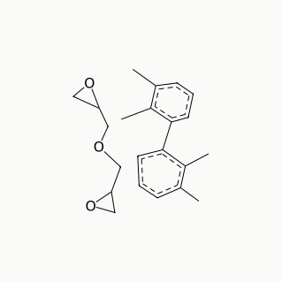 C(OCC1CO1)C1CO1.Cc1cccc(-c2cccc(C)c2C)c1C